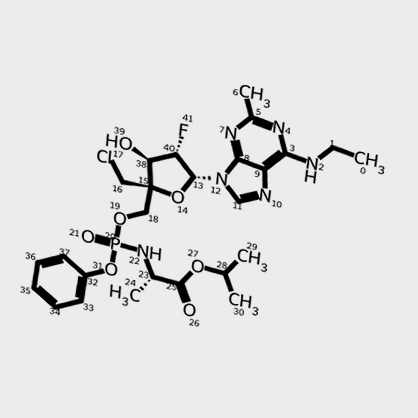 CCNc1nc(C)nc2c1ncn2[C@@H]1O[C@](CCl)(COP(=O)(N[C@@H](C)C(=O)OC(C)C)Oc2ccccc2)[C@@H](O)[C@@H]1F